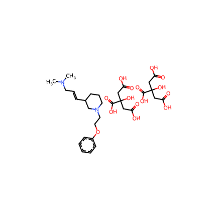 CN(C)CC=CC1CCCN(CCOc2ccccc2)C1.O=C(O)CC(O)(CC(=O)O)C(=O)O.O=C(O)CC(O)(CC(=O)O)C(=O)O